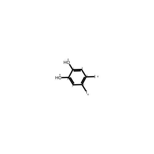 Oc1cc(I)c(I)cc1O